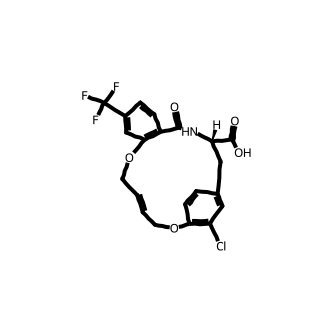 O=C1N[C@H](C(=O)O)Cc2ccc(c(Cl)c2)OC/C=C/COc2cc(C(F)(F)F)ccc21